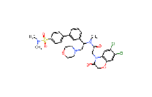 CN(C(=O)CN1C(=O)COc2cc(Cl)c(Cl)cc21)C(CN1CCOCC1)c1cccc(-c2ccc(S(=O)(=O)N(C)C)cc2)c1